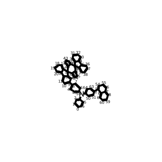 c1ccc(N(c2ccc(-c3ccc4c(c3)C3(c5ccccc5-4)c4ccccc4C4(c5ccccc5-c5ccccc54)c4ccccc43)cc2)c2ccc(-c3cccc4ccccc34)cc2)cc1